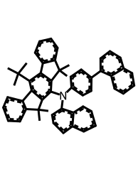 CC(C)(C)c1c2c(c(N(c3ccc(-c4cccc5ccccc45)cc3)c3cccc4ccccc34)c3c1-c1ccccc1C3(C)C)C(C)(C)c1ccccc1-2